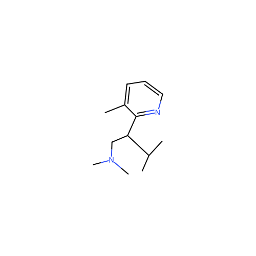 Cc1cccnc1C(CN(C)C)C(C)C